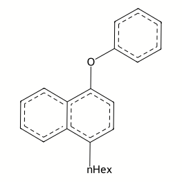 [CH2]CCCCCc1ccc(Oc2ccccc2)c2ccccc12